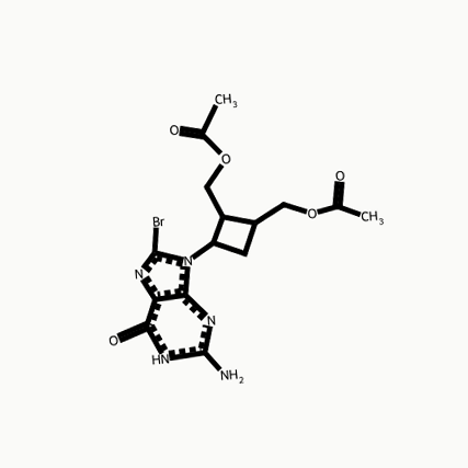 CC(=O)OCC1CC(n2c(Br)nc3c(=O)[nH]c(N)nc32)C1COC(C)=O